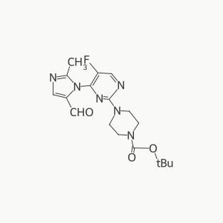 Cc1ncc(C=O)n1-c1nc(N2CCN(C(=O)OC(C)(C)C)CC2)ncc1F